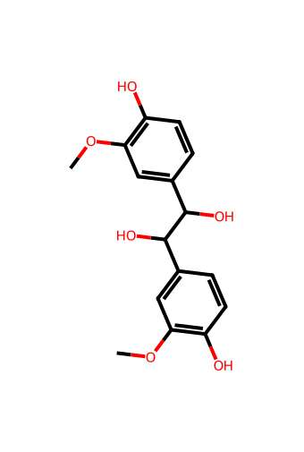 COc1cc(C(O)C(O)c2ccc(O)c(OC)c2)ccc1O